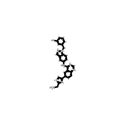 NCc1nc(-c2ccc3ncnc(Nc4ccc5c(cnn5Cc5cccc(F)c5)c4)c3c2)cs1